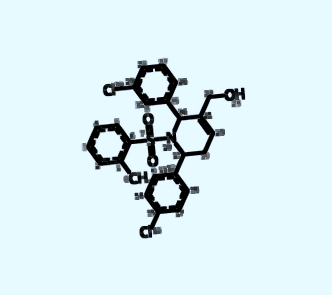 Cc1ccccc1S(=O)(=O)N1C(c2ccc(Cl)cc2)CC=C(CO)C1c1cccc(Cl)c1